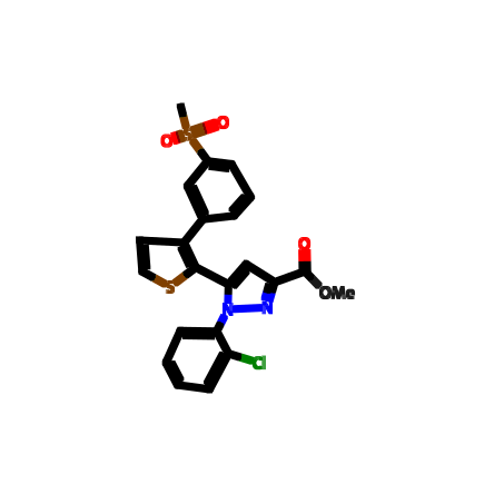 COC(=O)c1cc(-c2sccc2-c2cccc(S(C)(=O)=O)c2)n(-c2ccccc2Cl)n1